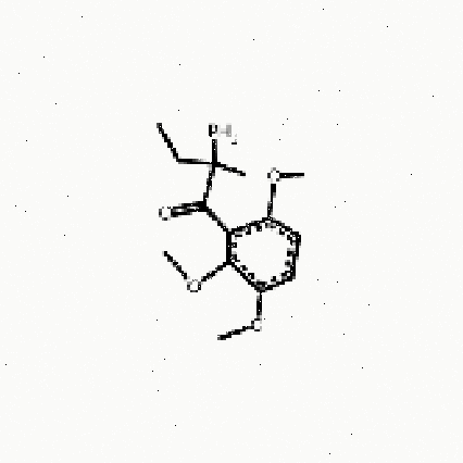 CCC(C)(P)C(=O)c1c(OC)ccc(OC)c1OC